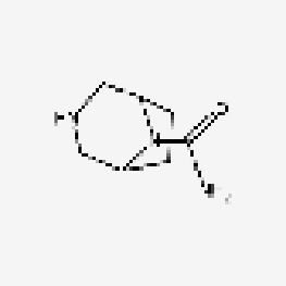 NC(=O)N1C2CCC1CNC2